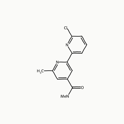 CNC(=O)c1cc(C)nc(-c2cccc(Cl)n2)c1